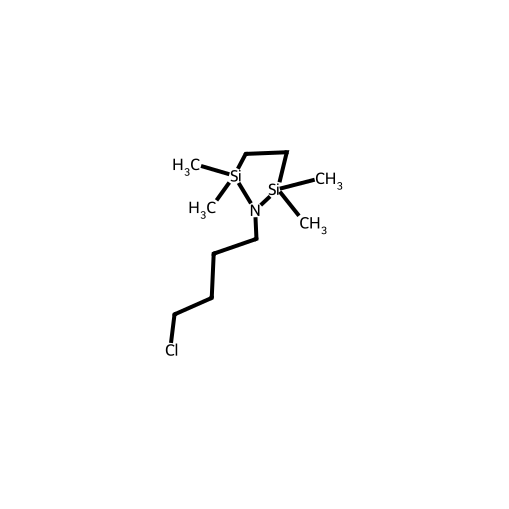 C[Si]1(C)CC[Si](C)(C)N1CCCCCl